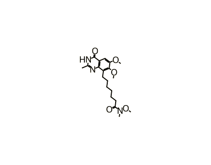 COc1cc2c(=O)[nH]c(C)nc2c(CCCCCCC(=O)N(C)OC)c1OC